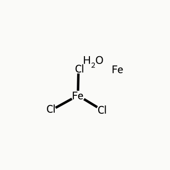 O.[Cl][Fe]([Cl])[Cl].[Fe]